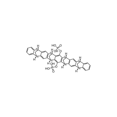 O=P(O)(O)Oc1c2c(c(OP(=O)(O)O)c3c1[C@H]1C[C@@H]3c3cc4c(cc31)[C@H]1C[C@@H]4c3ccccc31)[C@H]1C[C@@H]2c2cc3c(cc21)[C@H]1C[C@@H]3c2ccccc21